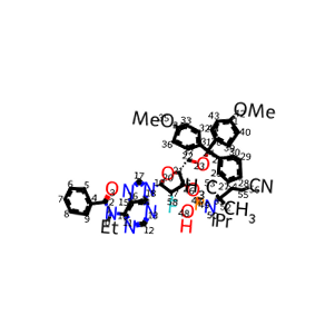 CCN(C(=O)c1ccccc1)c1ncnc2c1ncn2[C@@H]1O[C@H](COC(c2ccccc2)(c2ccc(OC)cc2)c2ccc(OC)cc2)[C@@H](OP(O)N(C(C)C)C(C)(C)CCC#N)[C@H]1F